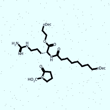 CCCCCCCCCCCCCCCCCC(=O)N[C@H](CCCNC(=N)N)C(=O)OCCCCCCCCCCCC.O=C(O)N1CCCC1=O